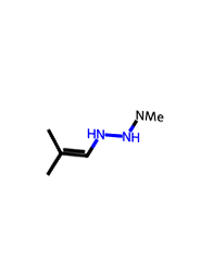 CNNNC=C(C)C